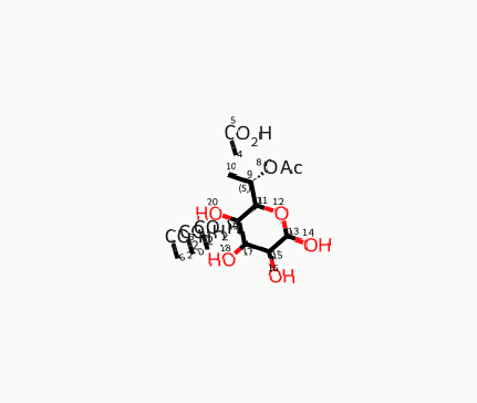 CC(=O)O.CC(=O)O.CC(=O)O.CC(=O)O.CC(=O)O[C@@H](C)C1OC(O)C(O)C(O)C1O